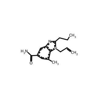 C=CCn1c(CCC)nc2cc(C(N)=O)cc(C)c21